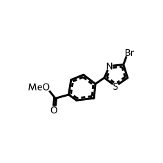 COC(=O)c1ccc(-c2nc(Br)cs2)cc1